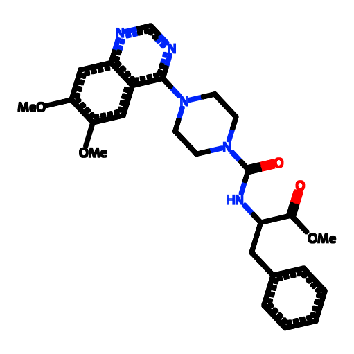 COC(=O)C(Cc1ccccc1)NC(=O)N1CCN(c2ncnc3cc(OC)c(OC)cc23)CC1